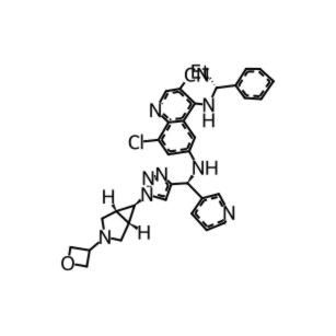 CC[C@@H](Nc1c(C#N)cnc2c(Cl)cc(N[C@@H](c3cccnc3)c3cn([C@H]4[C@@H]5CN(C6COC6)C[C@@H]54)nn3)cc12)c1ccccc1